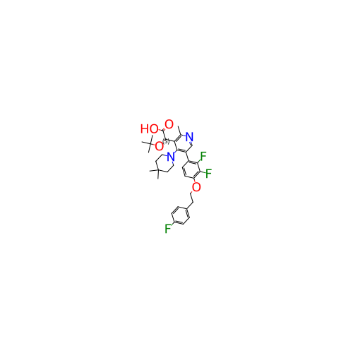 Cc1ncc(-c2ccc(OCCc3ccc(F)cc3)c(F)c2F)c(N2CCC(C)(C)CC2)c1[C@H](OC(C)(C)C)C(=O)O